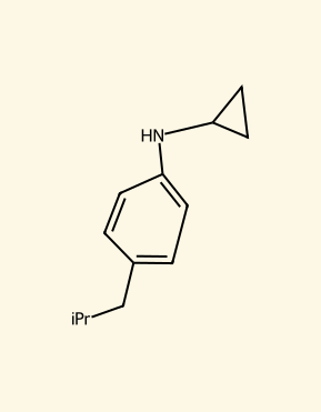 CC(C)Cc1ccc(NC2CC2)cc1